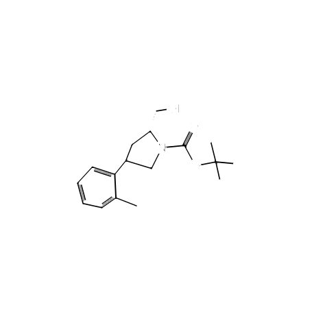 Cc1ccccc1C1C[C@H](CO)N(C(=O)OC(C)(C)C)C1